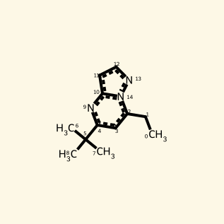 CCc1cc(C(C)(C)C)nc2ccnn12